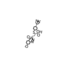 COc1ccc2c(=O)n(CCC(Sc3ccc(-c4cnn(C)c4)cc3)C(=O)O)nnc2c1